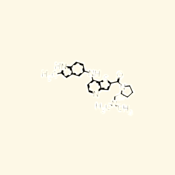 Cc1cc2cc(Nc3ccnc4cc(C(=O)N5CCC[C@H]5CN(C)C)sc34)ccc2[nH]1